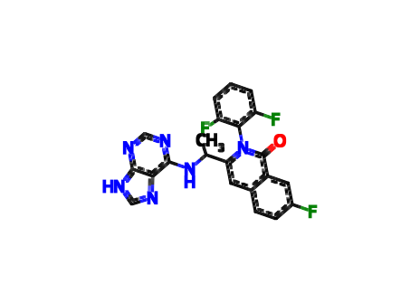 CC(Nc1ncnc2[nH]cnc12)c1cc2ccc(F)cc2c(=O)n1-c1c(F)cccc1F